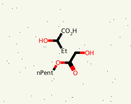 CCC(O)C(=O)O.CCCCCOC(=O)CO